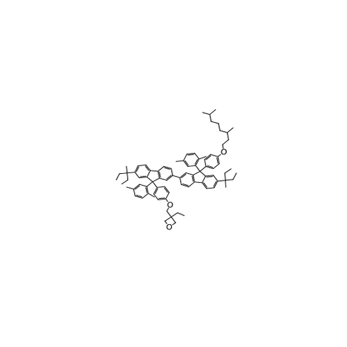 CCC1(COc2ccc(C3(c4cc(C)ccc4C)c4cc(-c5ccc6c(c5)C(c5ccc(OCCC(C)CCCC(C)C)cc5)(c5cc(C)ccc5C)c5cc(C(C)(CC)CC)ccc5-6)ccc4-c4ccc(C(C)(CC)CC)cc43)cc2)COC1